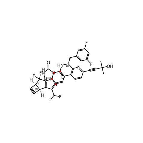 Cc1c(-c2ccc(C#CC(C)(C)O)nc2[C@H](Cc2cc(F)cc(F)c2)NC(=O)Cn2nc(C(F)F)c3c2C(F)(F)[C@@H]2C#C[C@H]32)ccc2n[nH]c(=O)n12